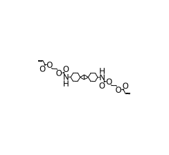 C=CC(=O)OCCOC(=O)NC1CCC2(CC1)C1C2C12CCC(NC(=O)OCCOC(=O)C=C)CC2